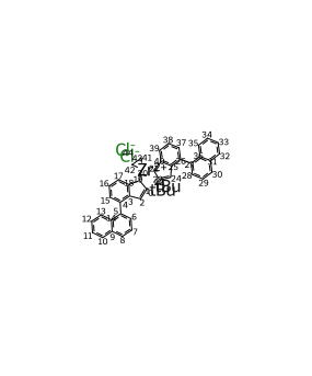 CC(C)(C)C1=Cc2c(-c3cccc4ccccc34)cccc2[CH]1[Zr+2]1([CH]2C(C(C)(C)C)=Cc3c(-c4cccc5ccccc45)cccc32)[CH2][CH2]1.[Cl-].[Cl-]